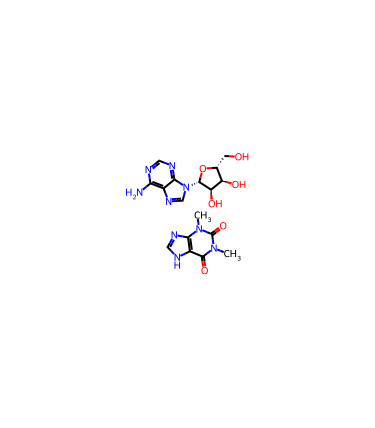 Cn1c(=O)c2[nH]cnc2n(C)c1=O.Nc1ncnc2c1ncn2[C@@H]1O[C@H](CO)[C@@H](O)[C@H]1O